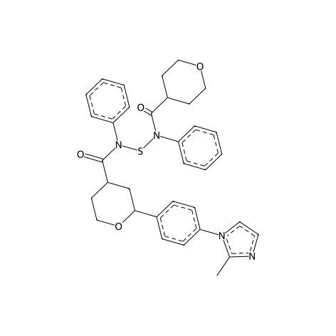 Cc1nccn1-c1ccc(C2CC(C(=O)N(SN(C(=O)C3CCOCC3)c3ccccc3)c3ccccc3)CCO2)cc1